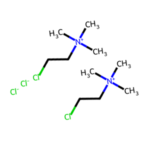 C[N+](C)(C)CCCl.C[N+](C)(C)CCCl.[Cl-].[Cl-]